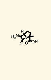 CC1(C(=O)O)CC[C@@H]2C(N)C(=O)N21